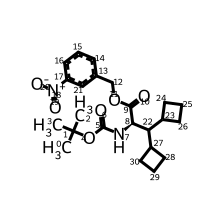 CC(C)(C)OC(=O)N[C@@H](C(=O)OCc1cccc([N+](=O)[O-])c1)C(C1CCC1)C1CCC1